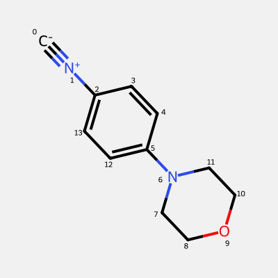 [C-]#[N+]c1ccc(N2CCOCC2)cc1